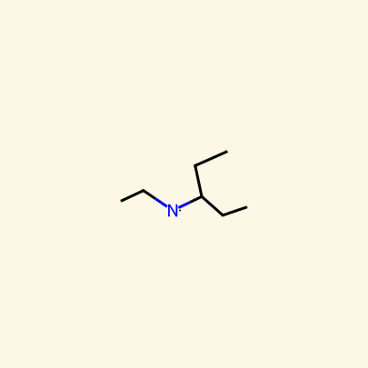 CC[N]C(CC)CC